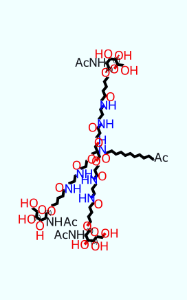 CC(=O)CCCCCCCCCCC(=O)NC(COCCC(=O)NCCCNCC(=O)CCCCO[C@@H]1OC(CO)[C@H](O)C(O)C1NC(C)=O)(COCCC(=O)NCCCNC(=O)CCCCO[C@@H]1OC(CO)[C@@H](O)C(O)C1NC(C)=O)COCCC(=O)NCCCNC(=O)CCCCO[C@@H]1OC(CO)[C@@H](O)C(O)C1NC(C)=O